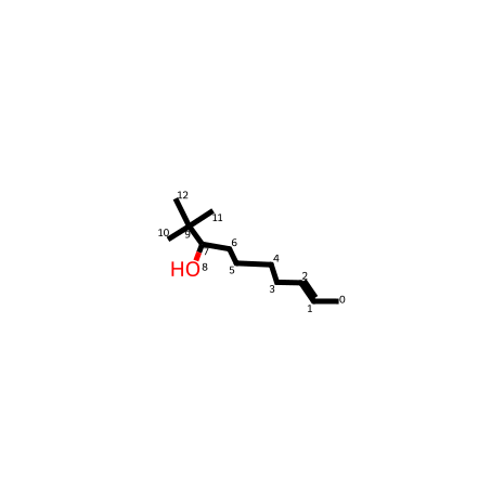 CC=CCCCCC(O)C(C)(C)C